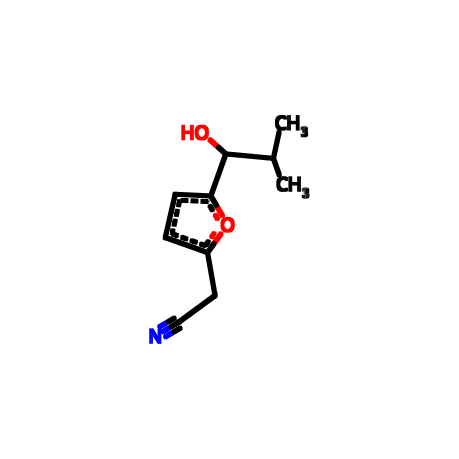 CC(C)C(O)c1ccc(CC#N)o1